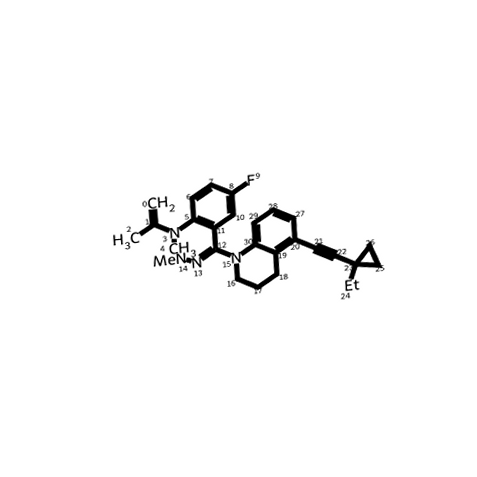 C=C(C)N(C)c1ccc(F)cc1/C(=N\NC)N1CCCc2c(C#CC3(CC)CC3)cccc21